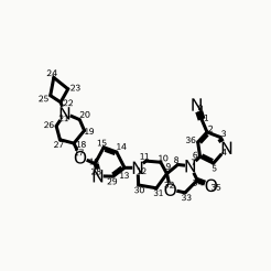 N#Cc1cncc(N2CC3(CCN(c4ccc(OC5CCN(C6CCC6)CC5)nc4)CC3)OCC2=O)c1